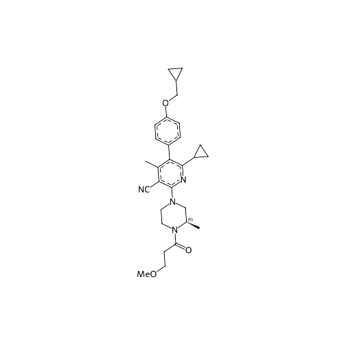 COCCC(=O)N1CCN(c2nc(C3CC3)c(-c3ccc(OCC4CC4)cc3)c(C)c2C#N)C[C@H]1C